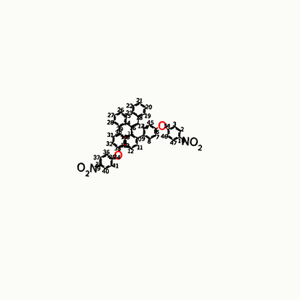 O=[N+]([O-])c1ccc(Oc2ccc(-c3ccccc3C(=Cc3ccccc3)c3ccccc3-c3ccc(Oc4ccc([N+](=O)[O-])cc4)cc3)cc2)cc1